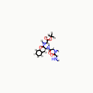 CNCC(=O)N(C)CC(=O)N(C)[C@@H](CC1CCCCC1)C(=O)N(C)CC(=O)OC(C)(C)C